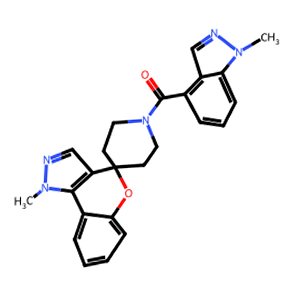 Cn1ncc2c1-c1ccccc1OC21CCN(C(=O)c2cccc3c2cnn3C)CC1